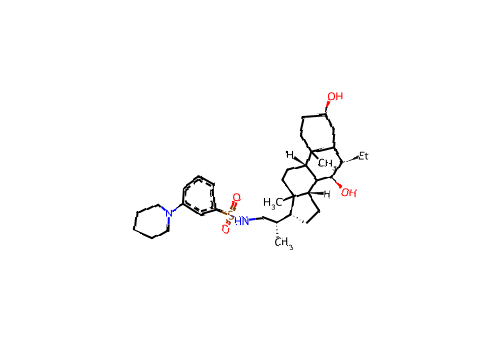 CC[C@@H]1C2C[C@H](O)CCC2(C)[C@H]2CCC3(C)[C@@H]([C@H](C)CNS(=O)(=O)c4cccc(N5CCCCC5)c4)CC[C@H]3C2[C@@H]1O